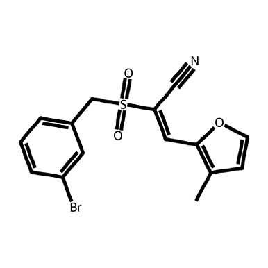 Cc1ccoc1C=C(C#N)S(=O)(=O)Cc1cccc(Br)c1